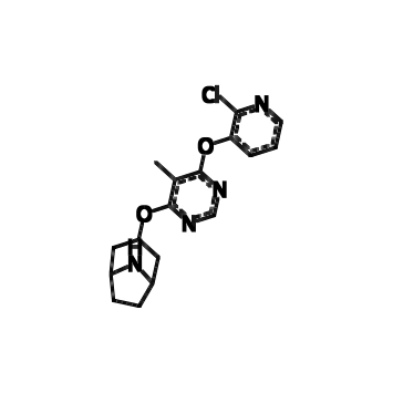 Cc1c(Oc2cccnc2Cl)ncnc1OC1CC2CCC(C1)N2